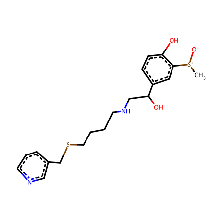 C[S+]([O-])c1cc(C(O)CNCCCCSCc2cccnc2)ccc1O